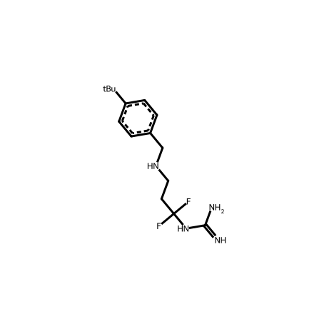 CC(C)(C)c1ccc(CNCCC(F)(F)NC(=N)N)cc1